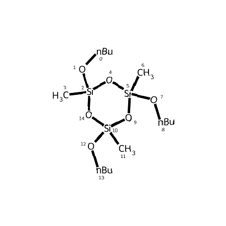 CCCCO[Si]1(C)O[Si](C)(OCCCC)O[Si](C)(OCCCC)O1